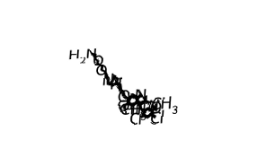 COc1cc(Nc2c(C#N)cnc3cc(OCCCN4CCN(CCOCCOCCN)CC4)c(OC)cc23)c(Cl)cc1Cl